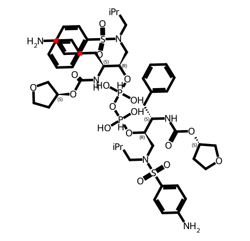 CC(C)CN(C[C@@H](O[PH](O)(O)O[PH](O)(O)O[C@H](CN(CC(C)C)S(=O)(=O)c1ccc(N)cc1)[C@H](Cc1ccccc1)NC(=O)O[C@H]1CCOC1)[C@H](Cc1ccccc1)NC(=O)O[C@H]1CCOC1)S(=O)(=O)c1ccc(N)cc1